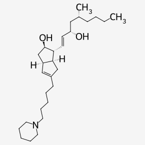 CCCC[C@@H](C)C[C@H](O)/C=C/[C@@H]1[C@H]2CC(CCCCCN3CCCCC3)=C[C@H]2C[C@H]1O